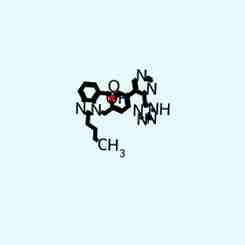 CCCCc1nc2cccc(C(=O)O)c2n1Cc1ccc(-c2cncnc2-c2nnn[nH]2)cc1